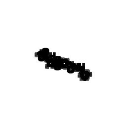 C=CS(=O)(=O)NCC1CCN(S(=O)(=O)c2ccc(CC(=O)NCCc3ccccc3)cc2)C1